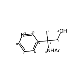 CC(=O)NC(C)(CO)c1cccnc1